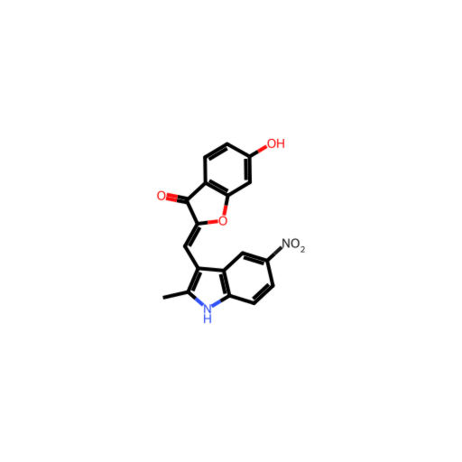 Cc1[nH]c2ccc([N+](=O)[O-])cc2c1C=C1Oc2cc(O)ccc2C1=O